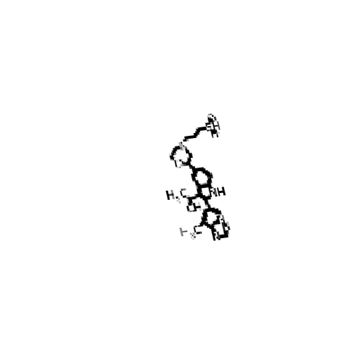 Cc1cc(-c2[nH]c3ccc(C4CN(CCC[SH](=O)=O)CCO4)cc3c2C(C)C)cn2ncnc12